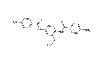 NCc1cc(NC(=O)c2ccc(N)cc2)ccc1NC(=O)c1ccc(N)cc1